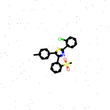 Cc1ccc(-c2sc(-c3ccccc3Cl)nc2-c2ccccc2S(C)(=O)=O)cc1